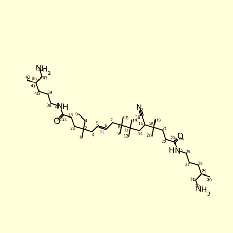 CCC(C)(C/C=C/CC(C)(C)C(C)(C)CC(C#N)C(C)(C)CCC(=O)NCCCC(C)CN)CCC(=O)NCCC[C@@H](C)CN